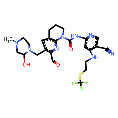 CN1CCN(Cc2cc3c(nc2C=O)N(C(=O)Nc2cc(NCCSC(F)(F)F)c(C#N)cn2)CCC3)C(O)C1